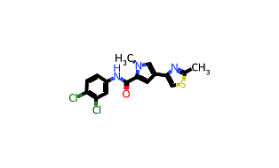 Cc1nc(-c2cc(C(=O)Nc3ccc(Cl)c(Cl)c3)n(C)c2)cs1